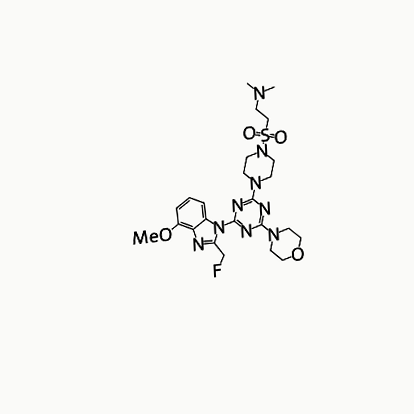 COc1cccc2c1nc(CF)n2-c1nc(N2CCOCC2)nc(N2CCN(S(=O)(=O)CCN(C)C)CC2)n1